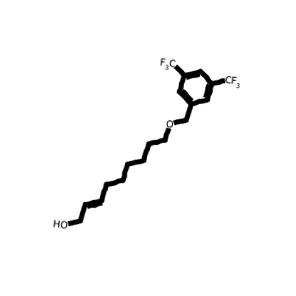 OCC=CCCCCCCOCc1cc(C(F)(F)F)cc(C(F)(F)F)c1